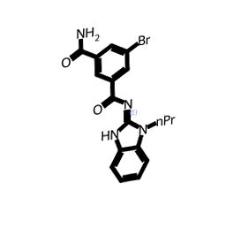 CCCn1/c(=N/C(=O)c2cc(Br)cc(C(N)=O)c2)[nH]c2ccccc21